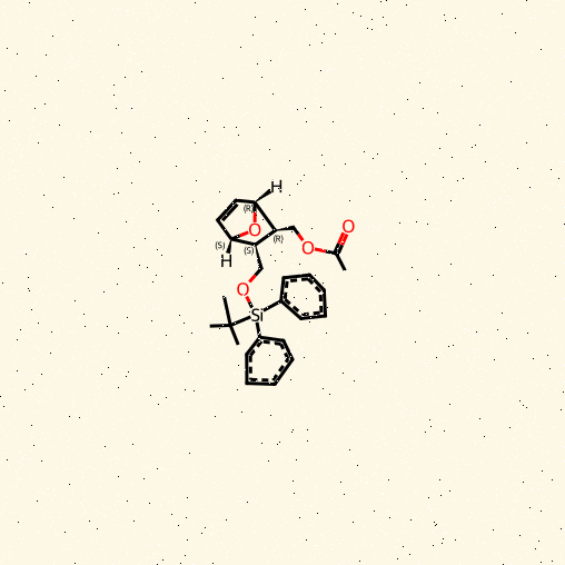 CC(=O)OC[C@H]1[C@@H](CO[Si](c2ccccc2)(c2ccccc2)C(C)(C)C)[C@@H]2C=C[C@H]1O2